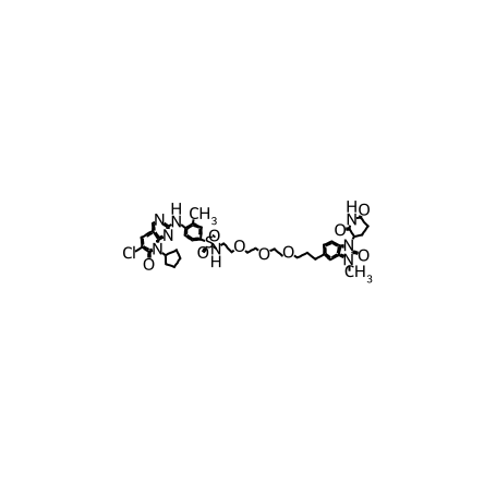 Cc1cc(S(=O)(=O)NCCOCCOCCOCCCc2ccc3c(c2)n(C)c(=O)n3C2CCC(=O)NC2=O)ccc1Nc1ncc2cc(Cl)c(=O)n(C3CCCC3)c2n1